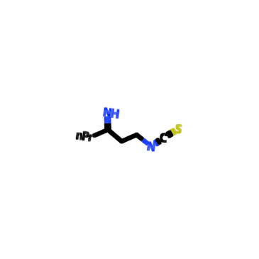 CCCC(=N)CCN=C=S